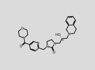 O=C(c1ccc(CN2CCN(C[C@H](O)CN3CCc4ccccc4C3)C2=O)nc1)N1CCOCC1